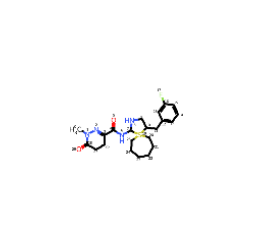 CN1N=C(C(=O)NC2NCC(Cc3cccc(F)c3)S23CCCCCC3)CCC1=O